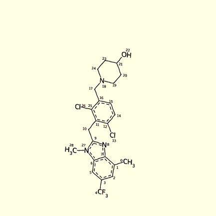 Cc1cc(C(F)(F)F)cc2c1nc(Cc1c(Cl)ccc(CN3CCC(O)CC3)c1Cl)n2C